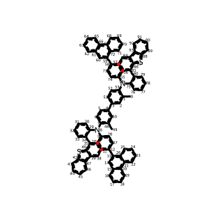 Cc1cc(-c2ccc(N(c3ccc(-c4cc5ccccc5c5ccccc45)cc3)c3ccccc3-c3cccc4c3sc3ccccc34)c(C)c2)ccc1N(c1ccc(-c2cc3ccccc3c3ccccc23)cc1)c1ccccc1-c1cccc2c1sc1ccccc12